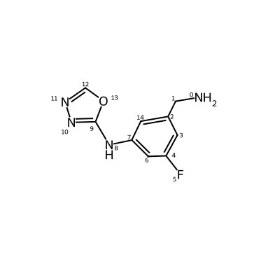 NCc1cc(F)cc(Nc2nnco2)c1